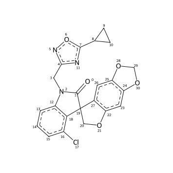 O=C1N(Cc2noc(C3CC3)n2)c2cccc(Cl)c2C12COc1cc3c(cc12)OCO3